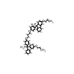 C=CCOC1=CC=C(C(C)(c2ccccc2)c2ccc(OCCCOc3ccc(C(C)(c4ccccc4)c4ccc(OCC=C)cc4)cc3)cc2)CC1